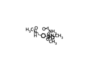 CC(=O)NCCc1ccc(S(=O)(=O)n2nc(C)cc2C)cc1.NC1CC1=O